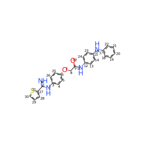 N=C(Nc1ccc(OCC(=O)Nc2ccc(Nc3ccccc3)cc2)cc1)c1cccs1